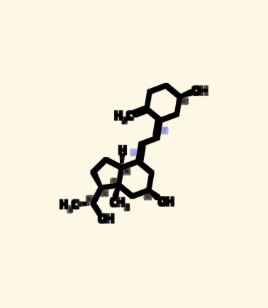 C=C1CC[C@@H](O)C/C1=C/C=C1\C[C@@H](O)C[C@]2(C)[C@@H]([C@@H](C)O)CC[C@@H]12